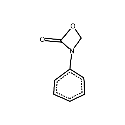 O=C1OCN1c1ccccc1